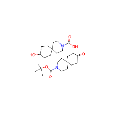 CC(C)(C)OC(=O)N1CCC2(CCC(=O)CC2)CC1.O=C(O)N1CCC2(CCC(O)CC2)CC1